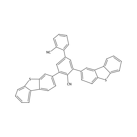 N#Cc1ccccc1-c1cc(-c2ccc3c(c2)sc2ccccc23)c(C#N)c(-c2ccc3sc4ccccc4c3c2)c1